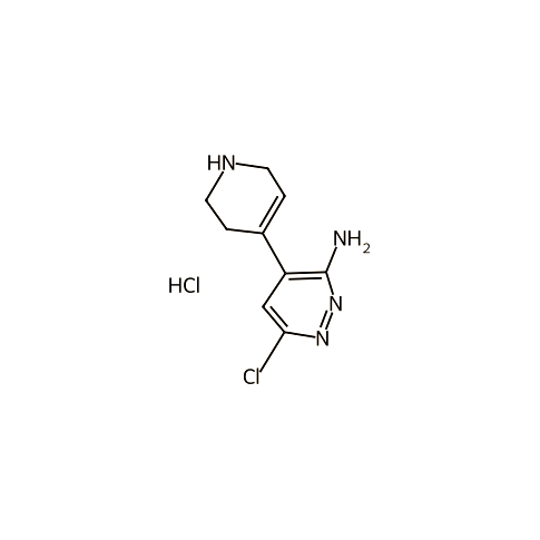 Cl.Nc1nnc(Cl)cc1C1=CCNCC1